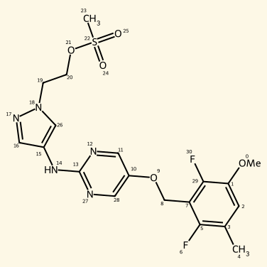 COc1cc(C)c(F)c(COc2cnc(Nc3cnn(CCOS(C)(=O)=O)c3)nc2)c1F